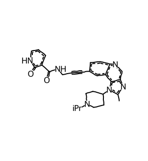 Cc1nc2cnc3ccc(C#CCNC(=O)c4ccc[nH]c4=O)cc3c2n1C1CCN(C(C)C)CC1